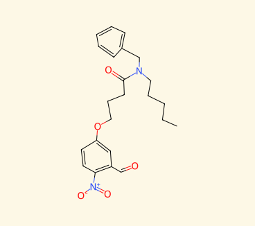 CCCCCN(Cc1ccccc1)C(=O)CCCOc1ccc([N+](=O)[O-])c(C=O)c1